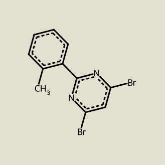 Cc1ccccc1-c1nc(Br)cc(Br)n1